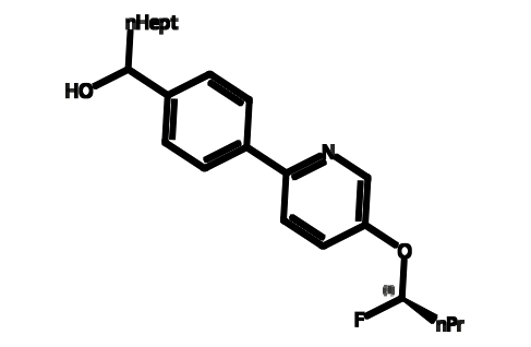 CCCCCCCC(O)c1ccc(-c2ccc(O[C@H](F)CCC)cn2)cc1